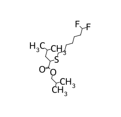 CC(C)COC(=O)C(CC(C)C)SCCCCCCC(F)F